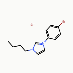 CCCCn1cc[n+](-c2ccc(Br)cc2)c1.[Br-]